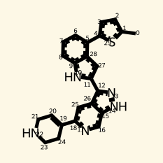 Cc1ccc(-c2cccc3[nH]c(-c4n[nH]c5cnc(C6=CCNCC6)cc45)cc23)s1